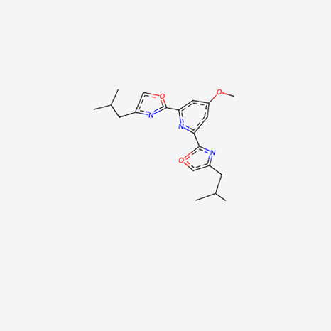 COc1cc(-c2nc(CC(C)C)co2)nc(-c2nc(CC(C)C)co2)c1